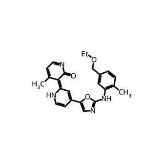 CCOCc1ccc(C)c(Nc2ncc(C3=CC(=C4C(=O)N=CC=C4C)NC=C3)o2)c1